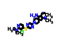 C=NC1=C(/C=C\C)[C@@H](N)C2(CCN(c3cnc(Sc4ccnc(N(C)C)c4Cl)cn3)CC2)C1